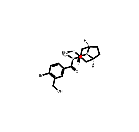 CN(C(=O)c1ccc(Br)c(CO)c1)C1C[C@H]2CC[C@@H](C1)N2C(=O)OC(C)(C)C